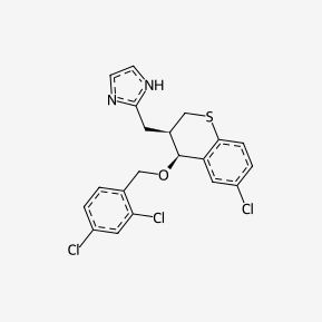 Clc1ccc(CO[C@@H]2c3cc(Cl)ccc3SC[C@@H]2Cc2ncc[nH]2)c(Cl)c1